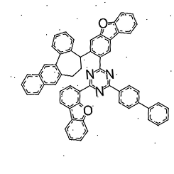 c1ccc(-c2ccc(-c3nc(-c4cc5c(cc4C4CCc6cc7ccccc7cc6-c6ccccc64)oc4ccccc45)nc(-c4cccc5c4oc4ccccc45)n3)cc2)cc1